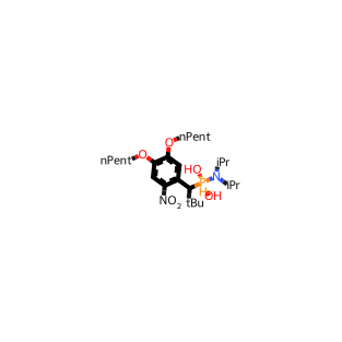 CCCCCOc1cc(C(C(C)(C)C)[PH](O)(O)N(C(C)C)C(C)C)c([N+](=O)[O-])cc1OCCCCC